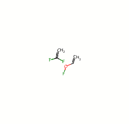 C=C(F)F.C=COF